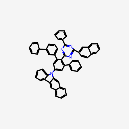 c1ccc(-c2cccc(-c3cc(-n4c5ccccc5c5cc6ccccc6cc54)cc(-c4ccccc4)c3-c3nc(-c4ccccc4)nc(-c4ccc5ccccc5c4)n3)c2)cc1